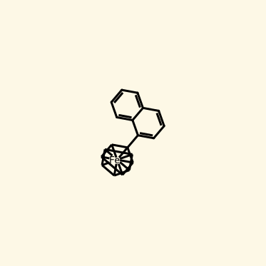 c1ccc2c([C]34[CH]5[CH]6[CH]7[CH]3[Fe]6754389%10[CH]4[CH]3[CH]8[CH]9[CH]4%10)cccc2c1